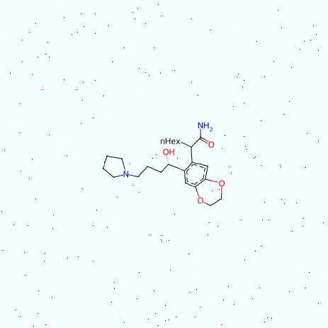 CCCCCCC(C(N)=O)c1cc2c(cc1[C@@H](O)CCCN1CCCC1)OCCO2